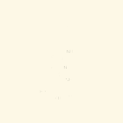 CC1(C)CS(=O)(=NC(=O)Nc2c3c(cc4c2CCC4)CCC3)NC1=O